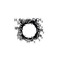 C/C=C/C[C@@H](C)[C@@H](O)C1C(=O)N[C@@H](CC)C(=O)N(C)C(OCCN(C)C)C(=O)N(C)[C@@H](CC(C)C)C(=O)NC(C(C)CC)C(=O)N(C)[C@@H](CC(C)C)C(=O)N[C@@H](C)C(=O)N[C@H](C)C(=O)N(C)[C@@H](CC(C)C)C(=O)N(C)[C@@H](CC(C)C)C(=O)N(C)C(C(C)C)C(=O)N1C